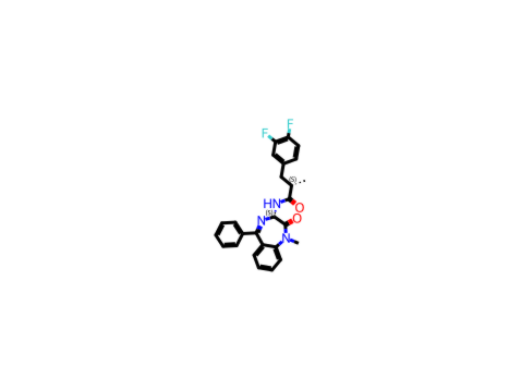 C[C@@H](Cc1ccc(F)c(F)c1)C(=O)N[C@H]1N=C(c2ccccc2)c2ccccc2N(C)C1=O